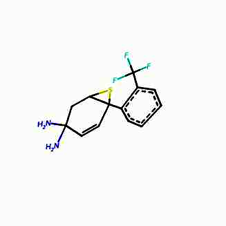 NC1(N)C=CC2(c3ccccc3C(F)(F)F)SC2C1